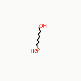 OCCCCCCCSO